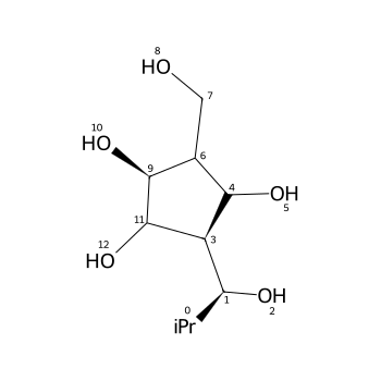 CC(C)[C@H](O)[C@@H]1C(O)C(CO)[C@H](O)C1O